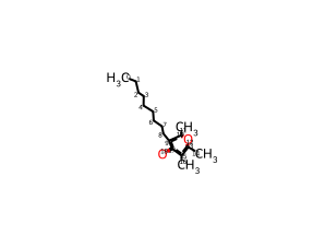 CCCCCCCCCc1c(C)oc(C)c(C)c1=O